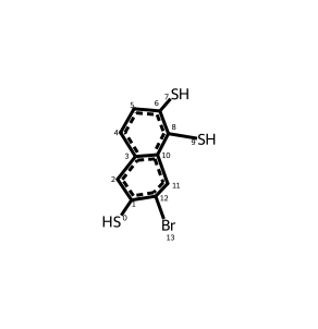 Sc1cc2ccc(S)c(S)c2cc1Br